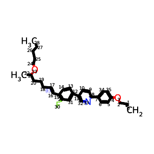 C=CCOc1ccc(-c2ccc(-c3ccc(/C=C/CCCC(C)OCCCCC)c(F)c3)cn2)cc1